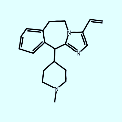 C=Cc1cnc2n1CCc1ccccc1C2C1CCN(C)CC1